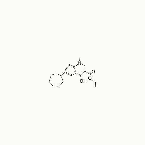 CCOC(=O)C1=CN(C)c2ccc(C3CCCCCC3)cc2C1O